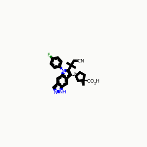 CC(C)(CC#N)c1c([C@@H]2CC[C@@](C)(C(=O)O)C2)c2cc3[nH]ncc3cc2n1-c1ccc(F)cc1